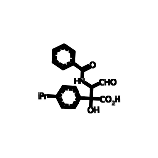 CC(C)c1ccc(C(O)(C(=O)O)C(C=O)NC(=O)c2ccccc2)cc1